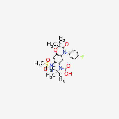 CC1(C)Oc2cc(NS(C)(=O)=O)c(N(C(=O)O)C(C)(C)C)cc2N(c2ccc(F)cc2)C1=O